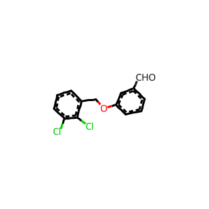 O=Cc1cccc(OCc2cccc(Cl)c2Cl)c1